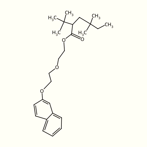 CCC(C)(C)CC(C(=O)OCCOCCOc1ccc2ccccc2c1)C(C)(C)C